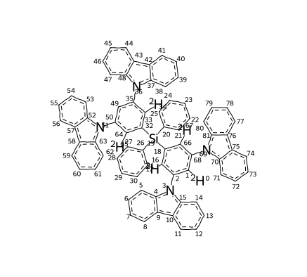 [2H]c1c(-n2c3ccccc3c3ccccc32)c([2H])c([Si](c2ccccc2)(c2ccccc2)c2c([2H])c(-n3c4ccccc4c4ccccc43)cc(-n3c4ccccc4c4ccccc43)c2[2H])c([2H])c1-n1c2ccccc2c2ccccc21